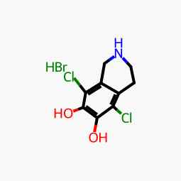 Br.Oc1c(O)c(Cl)c2c(c1Cl)CCNC2